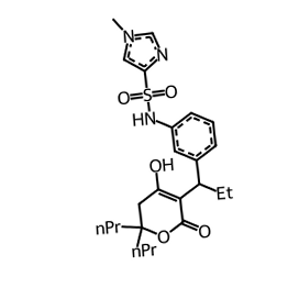 CCCC1(CCC)CC(O)=C(C(CC)c2cccc(NS(=O)(=O)c3cn(C)cn3)c2)C(=O)O1